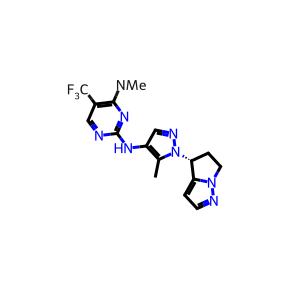 CNc1nc(Nc2cnn([C@@H]3CCn4nccc43)c2C)ncc1C(F)(F)F